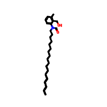 CCCCCCCCCCCCCCCCCCN(C=O)c1cccc(C)c1CO